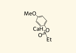 CCC(=O)Oc1ccc(OC)cc1.[CaH2]